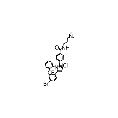 CN(C)CCCNC(=O)c1ccc(-c2ccc(-c3ccc(Br)cc3)n2-c2ccccc2C(F)(F)F)cc1.Cl